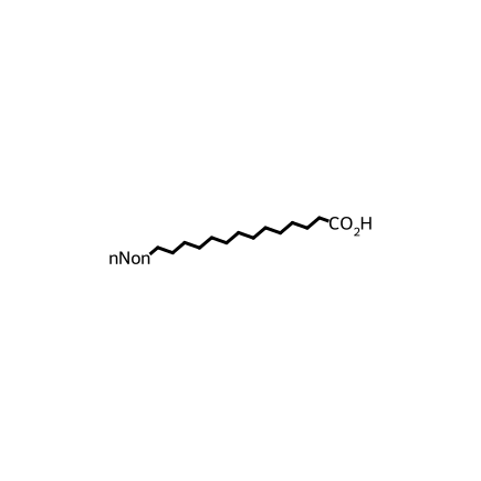 CCCCCCCCCCCCCCCCCCCCCCC(=O)O